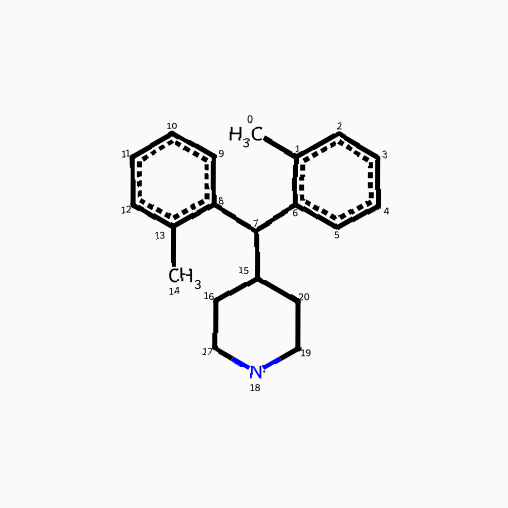 Cc1ccccc1C(c1ccccc1C)C1CC[N]CC1